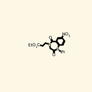 CCOC(=O)CCN1CC(=O)N(C(C)C)c2ccc([N+](=O)[O-])cc2C1=O